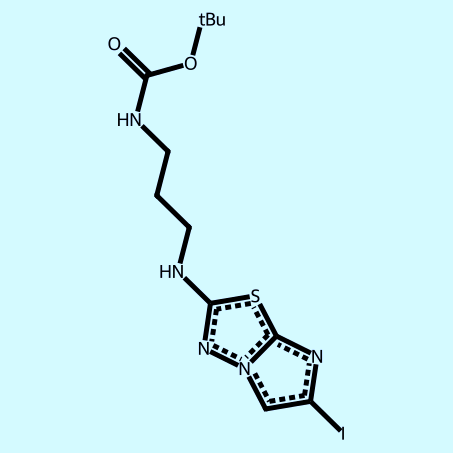 CC(C)(C)OC(=O)NCCCNc1nn2cc(I)nc2s1